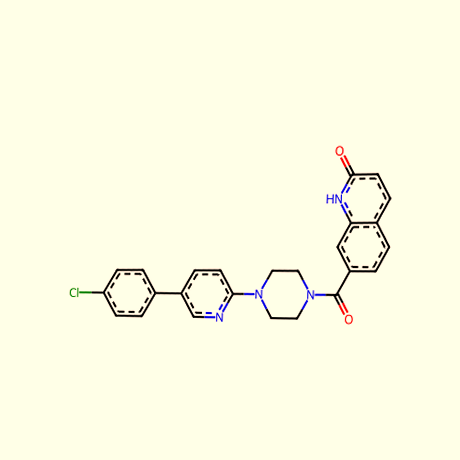 O=C(c1ccc2ccc(=O)[nH]c2c1)N1CCN(c2ccc(-c3ccc(Cl)cc3)cn2)CC1